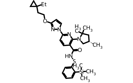 CCC1(CCOc2ccn(-c3ccc(C(=O)NSc4ccccc4[Si](C)(C)C)c(N4C[C@@H](C)CC4(C)C)n3)n2)CC1